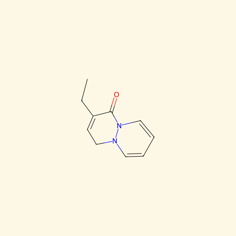 CCC1=CCN2C=CC=CN2C1=O